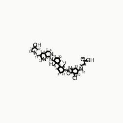 Cc1c(Nc2nccc3cc(CN4CC[C@H](O)C4)cnc23)cccc1-c1cccc(-c2nc3cc(N(C)CCC(=O)O)cc(Cl)c3o2)c1C